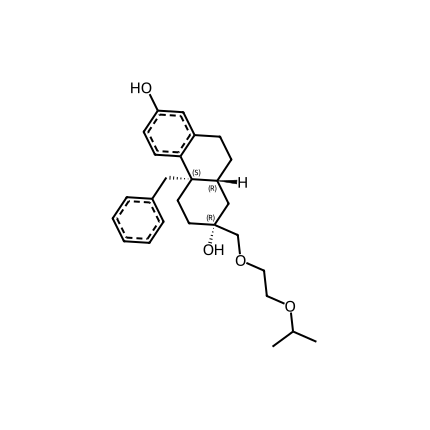 CC(C)OCCOC[C@@]1(O)CC[C@@]2(Cc3ccccc3)c3ccc(O)cc3CC[C@@H]2C1